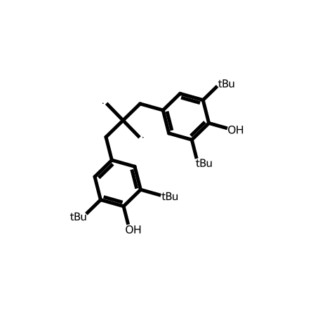 [CH2]C([CH2])(Cc1cc(C(C)(C)C)c(O)c(C(C)(C)C)c1)Cc1cc(C(C)(C)C)c(O)c(C(C)(C)C)c1